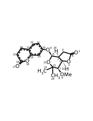 CO[C@@H]1[C@@H]2OC(=O)C[C@@H]2[C@H](Oc2ccc3ccc(=O)oc3c2)OC1(C)C